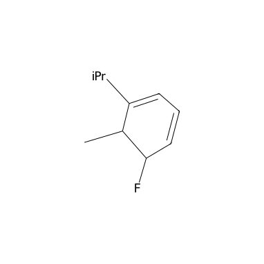 CC(C)C1=CC=CC(F)C1C